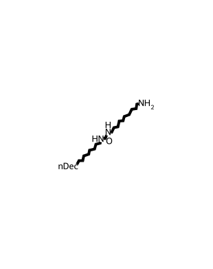 CCCCCCCCCCCCCCCCCCNC(=O)NCCCCCCCCCCN